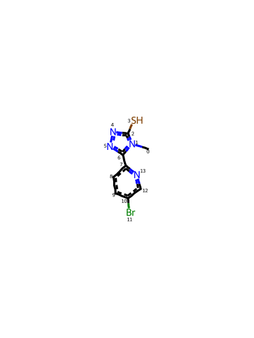 Cn1c(S)nnc1-c1ccc(Br)cn1